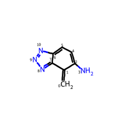 C=c1c(N)ccc2c1=NN=N2